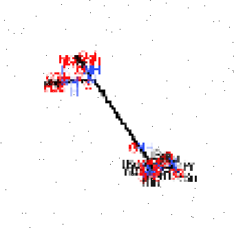 CCCCN(C(=O)OC(C)(C)C)C(C(CCCCCCNC(=O)CCCCCCCCCCCCCCCCCCCCCCCN(CCNC(=O)[C@H](O)[C@@H](O)[C@H](O)[C@@H](C)O)C(=O)CCC(=O)NCCNC(=O)[C@H](O)[C@@H](O)[C@H](O)[C@@H](C)O)CN(CCCC(N(C)C(=O)OC(C)(C)C)N(CCC)C(=O)OC(C)(C)C)C(=O)OC(C)(C)C)(N(C)C(=O)OC(C)(C)C)N(CCC)C(=O)OC(C)(C)C